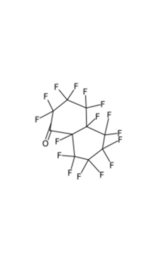 O=C1C(F)(F)C(F)(F)C(F)(F)C2(F)C(F)(F)C(F)(F)C(F)(F)C(F)(F)C12F